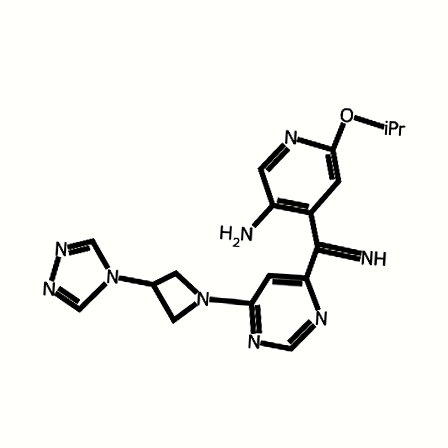 CC(C)Oc1cc(C(=N)c2cc(N3CC(n4cnnc4)C3)ncn2)c(N)cn1